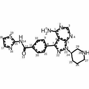 Nc1ncnc2c1c(-c1ccc(C(=O)Nc3nccs3)cc1)nn2[C@@H]1CCCNC1